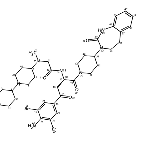 CN1CCC(N2CCC(N(C)CC(=O)N[C@H](CC(=O)c3cc(Br)c(N)c(Br)c3)C(=O)N3CCC(N4CCc5ccccc5NC4=O)CC3)CC2)CC1